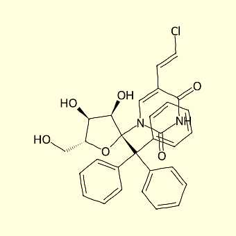 O=c1[nH]c(=O)n([C@]2(C(c3ccccc3)(c3ccccc3)c3ccccc3)O[C@H](CO)[C@@H](O)[C@H]2O)cc1/C=C/Cl